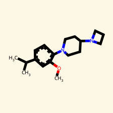 COc1cc(C(C)C)ccc1N1CCC(N2CCC2)CC1